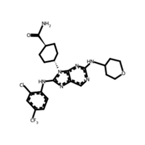 NC(=O)[C@H]1CC[C@H](n2c(Nc3ccc(C(F)(F)F)cc3Cl)nc3cnc(NC4CCOCC4)nc32)CC1